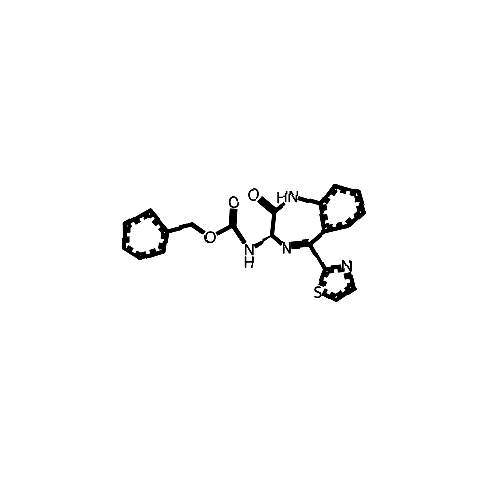 O=C(N[C@@H]1N=C(c2nccs2)c2ccccc2NC1=O)OCc1ccccc1